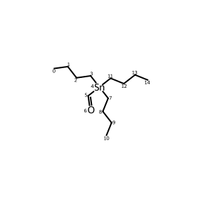 CCC[CH2][Sn]([CH]=O)([CH2]CCC)[CH2]CCC